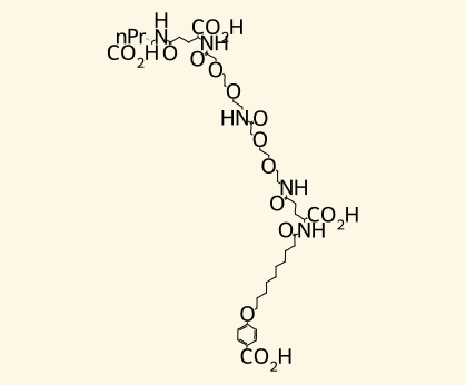 CCC[C@H](NC(=O)CCC(NC(=O)COCCOCCNC(=O)COCCOCCNC(=O)CC[C@H](NC(=O)CCCCCCCCCOc1ccc(C(=O)O)cc1)C(=O)O)C(=O)O)C(=O)O